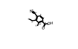 CCc1c(C#N)ccc(C(=O)O)c1C